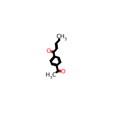 CC/C=C/C(=O)c1ccc(C(C)=O)cc1